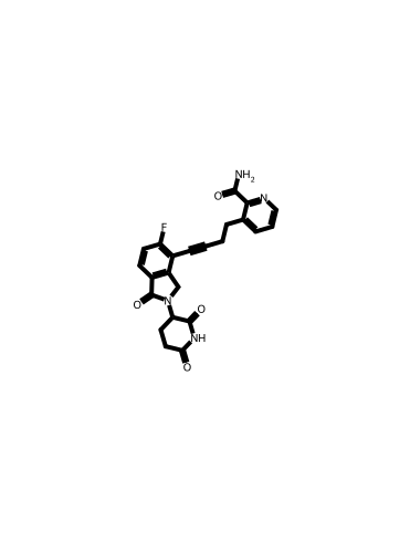 NC(=O)c1ncccc1CCC#Cc1c(F)ccc2c1CN(C1CCC(=O)NC1=O)C2=O